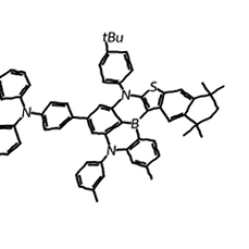 Cc1cccc(N2c3cc(C)ccc3B3c4c2cc(-c2ccc(N(c5ccccc5)c5ccccc5)cc2)cc4N(c2ccc(C(C)(C)C)cc2)c2sc4cc5c(cc4c23)C(C)(C)CCC5(C)C)c1